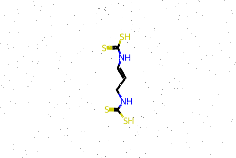 S=C(S)NC=CCNC(=S)S